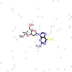 CC(C)(C)[Si](C)(C)OC1C[C@H](n2cnc3c(S)nc(N)nc32)O[C@@H]1CO